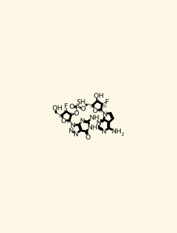 Nc1nc2c(nnn2[C@@H]2O[C@H](CO)[C@H](F)[C@H]2OP(=O)(S)OC[C@H]2O[C@@H](n3ccc4c(N)ncnc43)[C@@H](F)[C@@H]2O)c(=O)[nH]1